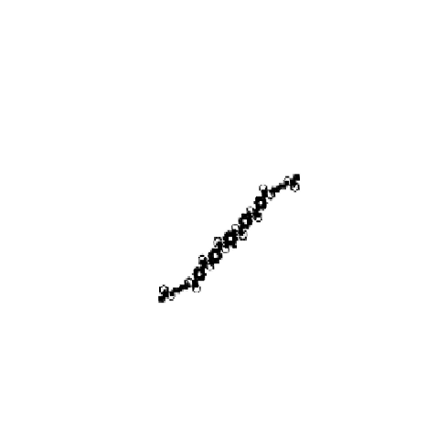 C=CC(=O)OCCCCOC(=O)C1CCC(C(=O)OC2CCC(C(=O)Oc3ccc(OC(=O)C4CCC(OC(=O)C5CCC(C(=O)OCCCCOC(=O)C=C)CC5)CC4)c(C)c3)CC2)CC1